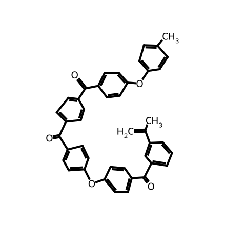 C=C(C)c1cccc(C(=O)c2ccc(Oc3ccc(C(=O)c4ccc(C(=O)c5ccc(Oc6ccc(C)cc6)cc5)cc4)cc3)cc2)c1